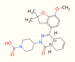 COc1ccc(C2=NN(C3CCN(C(=O)O)CC3)C(=O)[C@@H]3CC=CC[C@H]23)c2c1OC(C)(C)C2